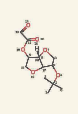 CC(C)(C)OC1CO[C@H]2C(OC(=O)C=O)COC12